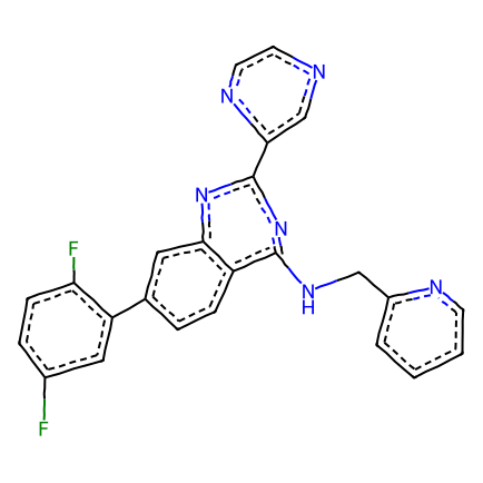 Fc1ccc(F)c(-c2ccc3c(NCc4ccccn4)nc(-c4cnccn4)nc3c2)c1